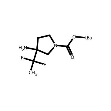 CC(C)(C)OC(=O)N1CCC(N)(C(C)(F)F)C1